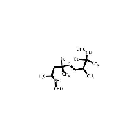 CCC(C)(CC(C)NC=O)OCC(C)C(C)(CC)NC=O